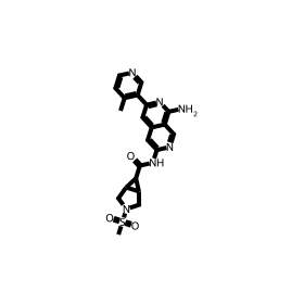 Cc1ccncc1-c1cc2cc(NC(=O)C3C4CN(S(C)(=O)=O)CC43)ncc2c(N)n1